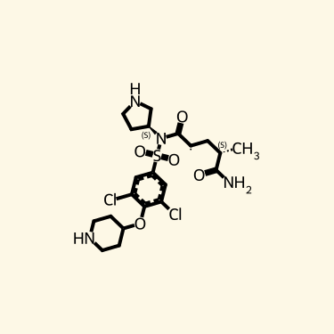 C[C@@H](C[CH]C(=O)N([C@H]1CCNC1)S(=O)(=O)c1cc(Cl)c(OC2CCNCC2)c(Cl)c1)C(N)=O